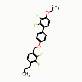 CCCc1ccc(COc2ccc(-c3ccc(OCC)c(F)c3F)cc2)c(F)c1F